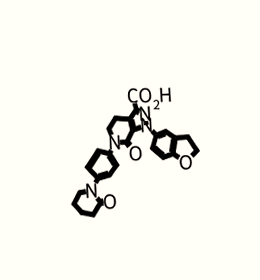 O=C(O)c1nn(-c2ccc3c(c2)CCO3)c2c1CCN(c1ccc(N3CCCCC3=O)cc1)C2=O